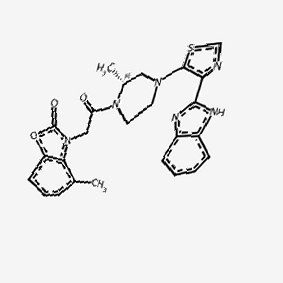 Cc1cccc2oc(=O)n(CC(=O)N3CCN(c4scnc4-c4nc5ccccc5[nH]4)C[C@H]3C)c12